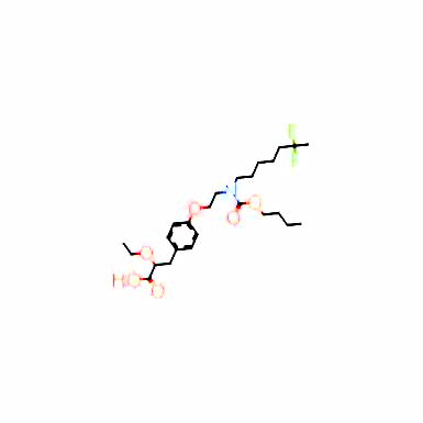 CCCCOC(=O)N(CCCCCC(C)(F)F)CCOc1ccc(CC(OCC)C(=O)O)cc1